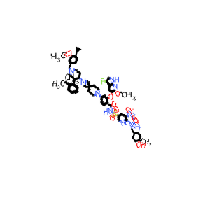 CCOc1nc2[nH]cc(F)c2cc1Oc1cc(N2CCC3(CC2)CN(C2CCN(Cc4ccc(C5CC5)c(OC)c4)CC2c2ccccc2C(C)C)C3)ccc1C(=O)NS(=O)(=O)c1cnc(NCC2CCC(C)(O)CC2)c([N+](=O)[O-])c1